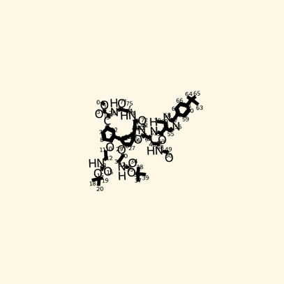 COC(=O)[C@@H]1Cc2ccc(OCCNC(=O)OC(C)(C)C)c(c2)-c2cc(ccc2OCCNC(=O)OC(C)(C)C)[C@H](N(C)C(=O)[C@H](CCNC=O)NC(=O)c2cnc(-c3ccc(C(C)(C)C)cc3)nc2C)C(=O)N[C@@H](C)C(=O)N1